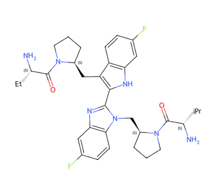 CC[C@H](N)C(=O)N1CCC[C@H]1Cc1c(-c2nc3cc(F)ccc3n2C[C@@H]2CCCN2C(=O)[C@@H](N)C(C)C)[nH]c2cc(F)ccc12